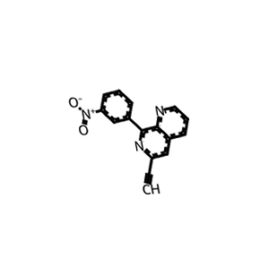 C#Cc1cc2cccnc2c(-c2cccc([N+](=O)[O-])c2)n1